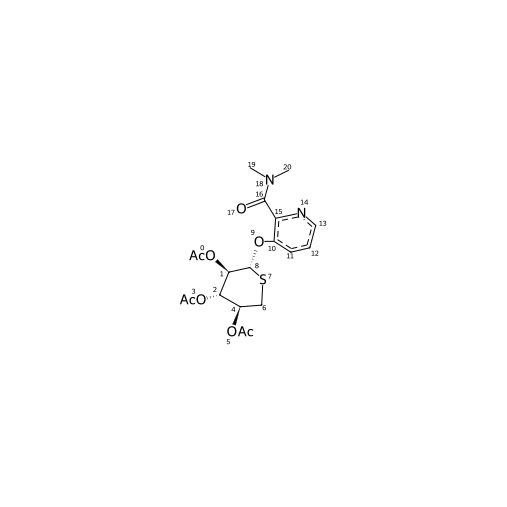 CC(=O)O[C@@H]1[C@@H](OC(C)=O)[C@H](OC(C)=O)CS[C@H]1Oc1cccnc1C(=O)N(C)C